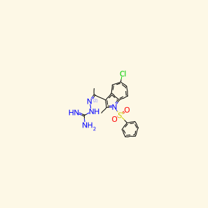 C/C(=N/NC(=N)N)c1c(C)n(S(=O)(=O)c2ccccc2)c2ccc(Cl)cc12